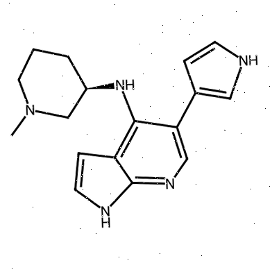 CN1CCC[C@@H](Nc2c(-c3cc[nH]c3)cnc3[nH]ccc23)C1